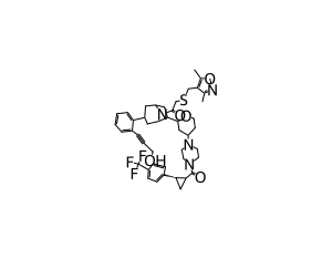 Cc1noc(C)c1CSCC(=O)N1C2CC(c3ccccc3C#CCO)CC1C(C1CC(N3CCN(C(=O)C4C[C@H]4c4ccc(C(F)(F)F)cc4)CC3)CCO1)C2